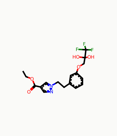 CCOC(=O)c1cnn(CCc2cccc(OCC(O)(O)C(F)(F)F)c2)c1